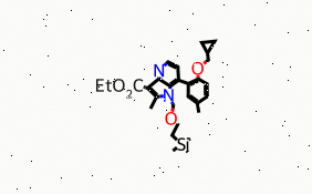 CCOC(=O)c1c(C)n(COCC[Si](C)(C)C)c2c(-c3cc(C)ccc3OCC3CC3)ccnc12